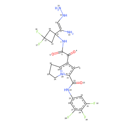 Cc1c(C(=O)C(=O)NC2(/C(N)=C/NN)CC(F)(F)C2)c2n(c1C(=O)Nc1cc(F)c(F)c(F)c1)CCC2